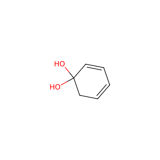 OC1(O)C=CC=CC1